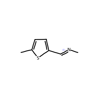 C/N=C/c1ccc(C)s1